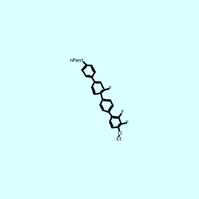 CCCCCc1ccc(-c2ccc(-c3ccc(-c4ccc(OCC)c(F)c4F)cc3)c(F)c2)cc1